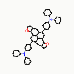 c1ccc(N(c2ccccc2)c2ccc(-c3cc4c5occc5cc5c(-c6ccc(N(c7ccccc7)c7ccccc7)cc6)cc6c7occc7cc3c6c54)cc2)cc1